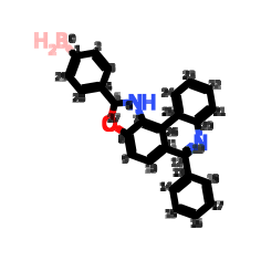 Bc1ccc(C2Nc3c(ccc4c(-c5ccccc5)nc5ccccc5c34)O2)cc1